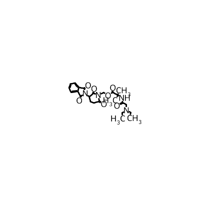 CCN(CC)CC(=O)NC(C)(C)C(=O)OCN1C(=O)CCC(N2C(=O)c3ccccc3C2=O)C1=O